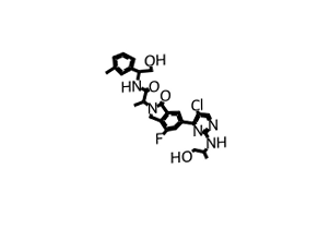 Cc1cccc(C(CO)NC(=O)C(C)N2Cc3c(F)cc(-c4nc(NC(C)CO)ncc4Cl)cc3C2=O)c1